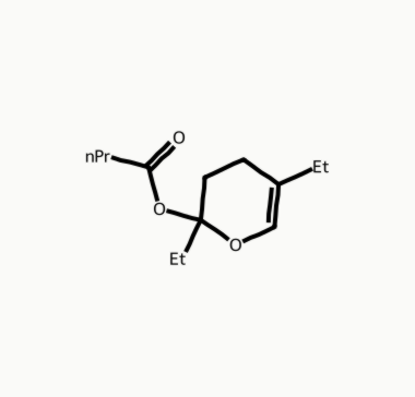 CCCC(=O)OC1(CC)CCC(CC)=CO1